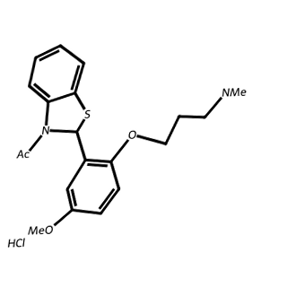 CNCCCOc1ccc(OC)cc1C1Sc2ccccc2N1C(C)=O.Cl